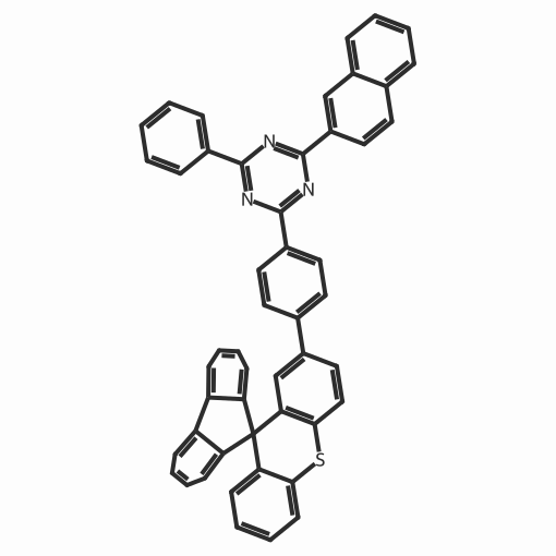 c1ccc(-c2nc(-c3ccc(-c4ccc5c(c4)C4(c6ccccc6S5)c5ccccc5-c5ccccc54)cc3)nc(-c3ccc4ccccc4c3)n2)cc1